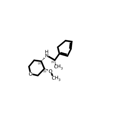 CO[C@@H]1COCC[C@@H]1N[C@@H](C)C1=CC=CCC1